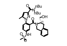 CCCCN(CCCC)C(=O)c1cc(C)n(-c2ccc(NS(C)(=O)=O)cc2C(=O)N2Cc3ccccc3C[C@H]2CO)n1